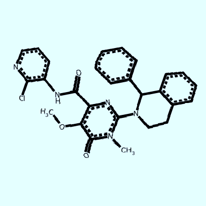 COc1c(C(=O)Nc2cccnc2Cl)nc(N2CCc3ccccc3C2c2ccccc2)n(C)c1=O